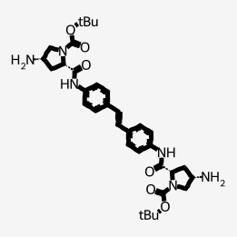 CC(C)(C)OC(=O)N1C[C@@H](N)C[C@H]1C(=O)Nc1ccc(/C=C/c2ccc(NC(=O)[C@@H]3C[C@H](N)CN3C(=O)OC(C)(C)C)cc2)cc1